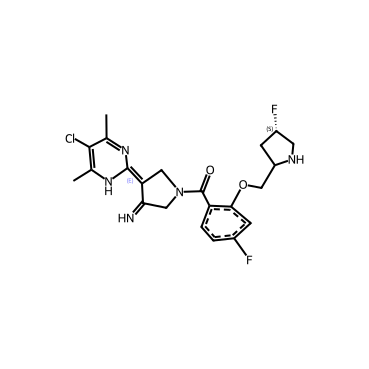 CC1=N/C(=C2\CN(C(=O)c3ccc(F)cc3OCC3C[C@H](F)CN3)CC2=N)NC(C)=C1Cl